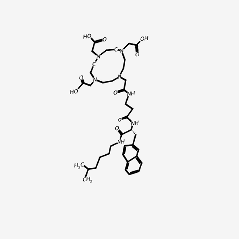 CC(C)CCCCNC(=O)[C@@H](Cc1ccc2ccccc2c1)NC(=O)CCNC(=O)CN1CCN(CC(=O)O)CCN(CC(=O)O)CCN(CC(=O)O)CC1